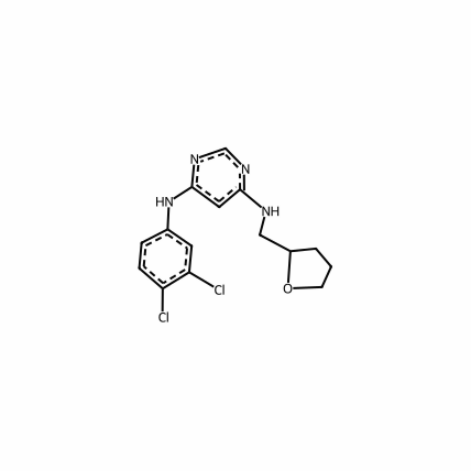 Clc1ccc(Nc2cc(NCC3CCCO3)ncn2)cc1Cl